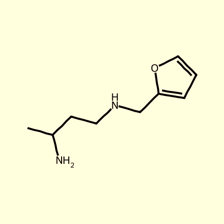 CC(N)CCNCc1ccco1